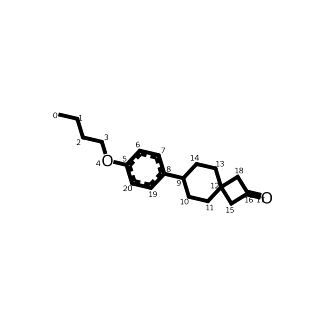 CCCCOc1ccc(C2CCC3(CC2)CC(=O)C3)cc1